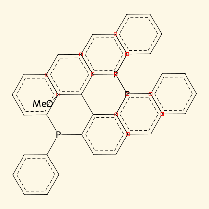 COc1cccc(P(c2ccccc2)c2ccccc2)c1-c1c(P(c2ccccc2)c2ccccc2)cccc1P(c1ccccc1)c1ccccc1